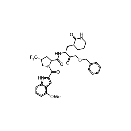 COc1cccc2[nH]c(C(=O)N3C[C@H](C(F)(F)F)C[C@H]3C(=O)N[C@@H](C[C@@H]3CCCNC3=O)C(=O)COCc3ccccc3)cc12